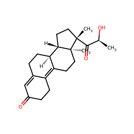 C[C@H](O)C(=O)[C@@]1(C)CC[C@H]2[C@@H]3CCC4=CC(=O)CCC4=C3CC[C@@]21C